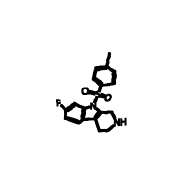 Cc1ccc(S(=O)(=O)n2c3c(c4ccc(F)cc42)CCNC3)cc1